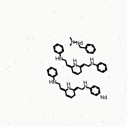 C1=CC(=CCNc2ccccc2)NC(=CCNc2ccccc2)C1.C1=CC(=CCNc2ccccc2)NC(=CCNc2ccccc2)C1.C[N](C)[Nd][CH2]c1ccccc1.[Nd]